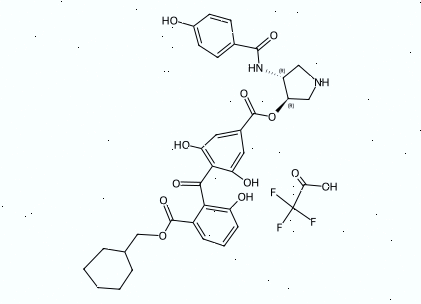 O=C(N[C@@H]1CNC[C@H]1OC(=O)c1cc(O)c(C(=O)c2c(O)cccc2C(=O)OCC2CCCCC2)c(O)c1)c1ccc(O)cc1.O=C(O)C(F)(F)F